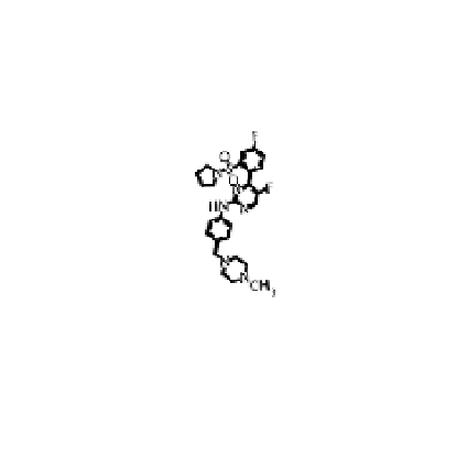 CN1CCN(Cc2ccc(Nc3ncc(F)c(-c4ccc(F)cc4S(=O)(=O)N4CCCC4)n3)cc2)CC1